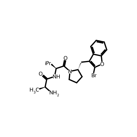 CC(C)[C@H](NC(=O)[C@H](C)N)C(=O)N1CCC[C@H]1Cc1c(Br)oc2ccccc12